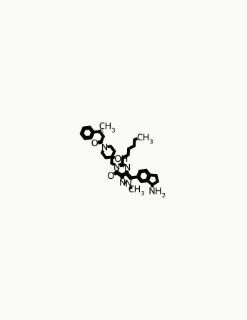 CCCCCCc1nc2c(-c3ccc4c(c3)C(N)CC4)n(C)nc2c(=O)n1CC1(O)CCN(C(=O)C[C@@H](C)c2ccccc2)CC1